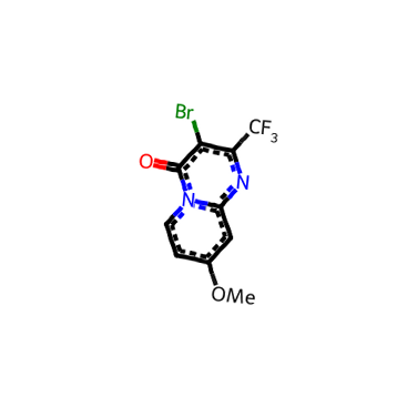 COc1ccn2c(=O)c(Br)c(C(F)(F)F)nc2c1